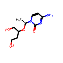 C[C@@H](OC(CO)CCO)n1ccc(N)nc1=O